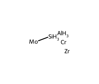 [AlH3].[Cr].[SiH3][Mo].[Zr]